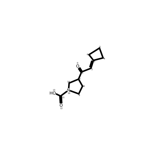 O=C(C=C1CCC1)C1CCN(C(=O)O)C1